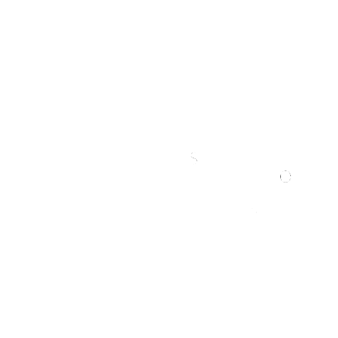 CCCc1cc(C(C)=O)sc1-c1ccccc1C